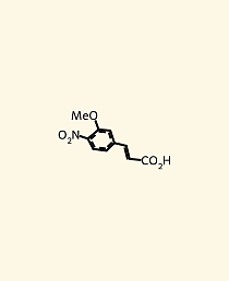 COc1cc(/C=C/C(=O)O)ccc1[N+](=O)[O-]